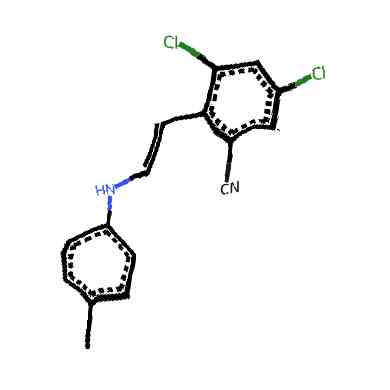 Cc1ccc(NC=Cc2c(C#N)[c]c(Cl)cc2Cl)cc1